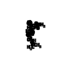 CCC(CC)CNC(=O)Cn1cccc(NC(=O)[C@H](CCC(=O)C(N)=O)NC(=O)c2ccccc2)c1=O